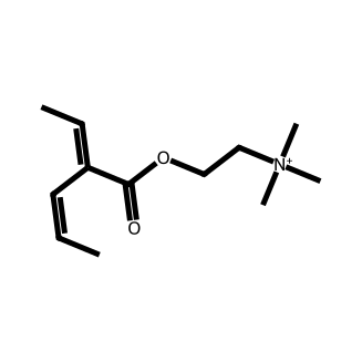 C/C=C\C(=C/C)C(=O)OCC[N+](C)(C)C